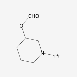 CC(C)N1CCCC(OC=O)C1